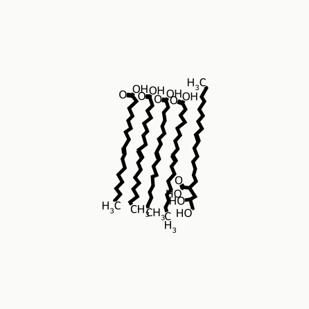 CCCCCCCCC=CCCCCCCC(CC(O)CO)C(=O)O.CCCCCCCCC=CCCCCCCCC(=O)O.CCCCCCCCC=CCCCCCCCC(=O)O.CCCCCCCCC=CCCCCCCCC(=O)O.CCCCCCCCC=CCCCCCCCC(=O)O